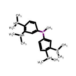 C[SiH](C)c1ccc(P(C)c2ccc([SiH](C)C)c([SiH](C)C)c2)cc1[SiH](C)C